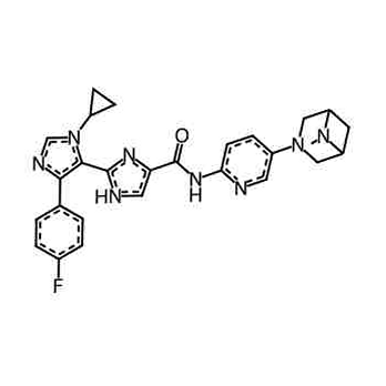 CN1C2CC1CN(c1ccc(NC(=O)c3c[nH]c(-c4c(-c5ccc(F)cc5)ncn4C4CC4)n3)nc1)C2